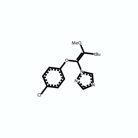 CO/C(=C(\Oc1ccc(Cl)cc1)n1cncn1)C(C)(C)C